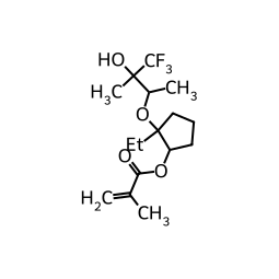 C=C(C)C(=O)OC1CCCC1(CC)OC(C)C(C)(O)C(F)(F)F